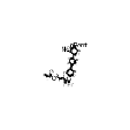 C=CC(=O)OCCCC(CCC)Oc1ccc(-c2ccc(C3CCCC(C#N)(CCCCC)C3)cc2)cc1